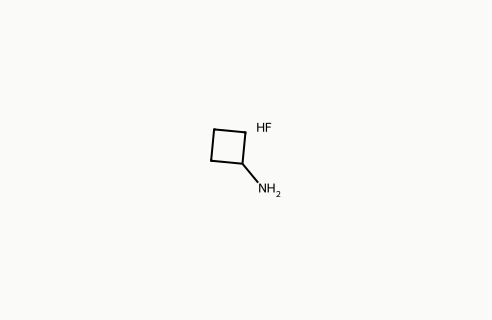 F.NC1CCC1